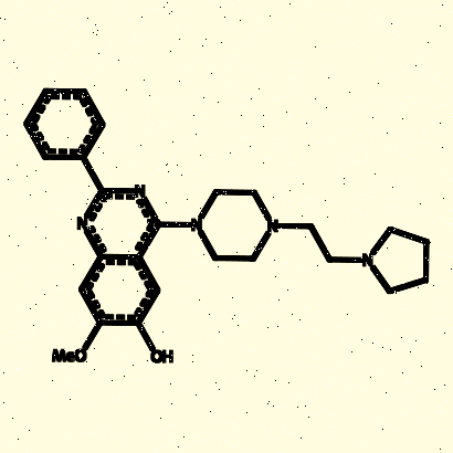 COc1cc2nc(-c3ccccc3)nc(N3CCN(CCN4CCCC4)CC3)c2cc1O